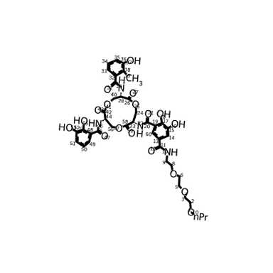 CCCOCCOCCOCCNC(=O)c1cc(O)c(O)c(C(=O)N[C@H]2COC(=O)[C@@H](NC(=O)c3cccc(O)c3C)COC(=O)[C@@H](NC(=O)c3cccc(O)c3O)COC2=O)c1